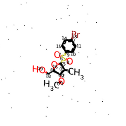 CO[C@@H]1C(C)[C@H](S(=O)(=O)c2ccc(Br)cc2)O[C@@H]1CO